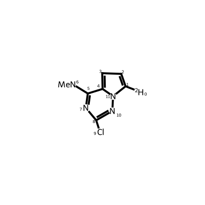 [2H]c1ccc2c(NC)nc(Cl)nn12